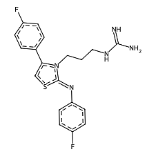 N=C(N)NCCCn1c(-c2ccc(F)cc2)csc1=Nc1ccc(F)cc1